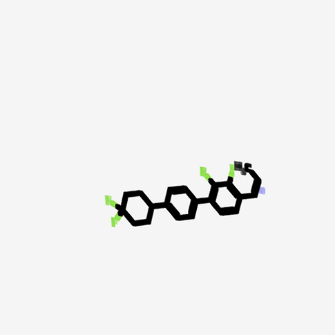 C/C=C\c1ccc(-c2ccc(C3CCC(F)(F)CC3)cc2)c(F)c1F